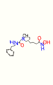 CN(CCCCCC(=O)NO)CC(=O)NCCc1ccccc1